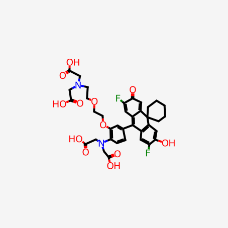 O=C(O)CN(CCOCCOc1cc(C2=C3C=C(F)C(=O)C=C3C3(CCCCC3)c3cc(O)c(F)cc32)ccc1N(CC(=O)O)CC(=O)O)CC(=O)O